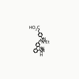 CCc1nc(-c2ccc(CCC(=O)O)cc2)n(Cc2ccc(-c3ccccc3-c3nnn[nH]3)cc2)n1